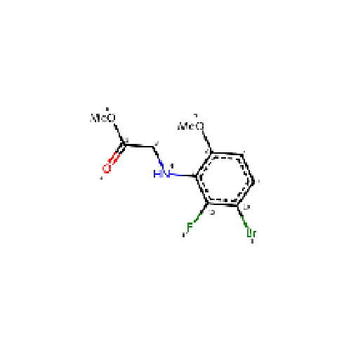 COC(=O)CNc1c(OC)ccc(Br)c1F